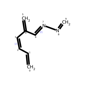 C=C/C=C\C(=C)/C=N/N=C